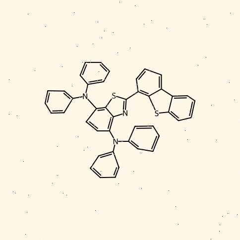 c1ccc(N(c2ccccc2)c2ccc(N(c3ccccc3)c3ccccc3)c3sc(-c4cccc5c4sc4ccccc45)nc23)cc1